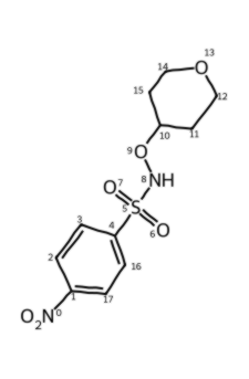 O=[N+]([O-])c1ccc(S(=O)(=O)NOC2CCOCC2)cc1